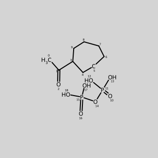 CC(=O)C1CCCCCC1.O=P(O)(O)OP(=O)(O)O